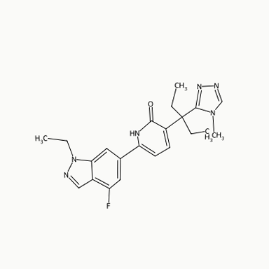 CCn1ncc2c(F)cc(-c3ccc(C(CC)(CC)c4nncn4C)c(=O)[nH]3)cc21